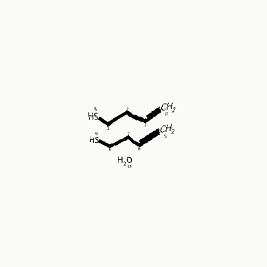 C=CCCS.C=CCCS.O